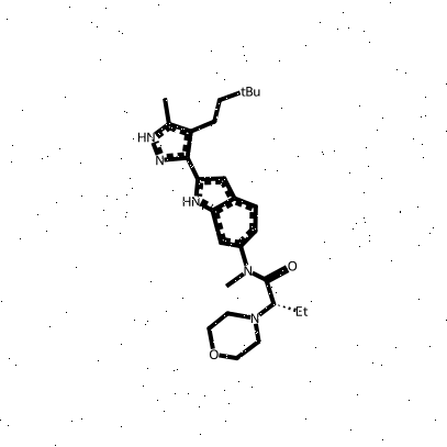 CC[C@@H](C(=O)N(C)c1ccc2cc(-c3n[nH]c(C)c3CCC(C)(C)C)[nH]c2c1)N1CCOCC1